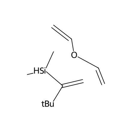 C=C([SiH](C)C)C(C)(C)C.C=COC=C